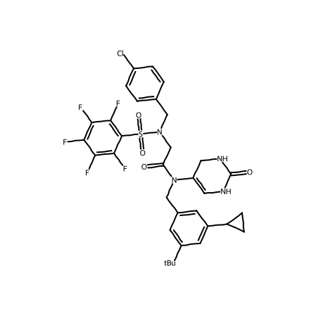 CC(C)(C)c1cc(CN(C(=O)CN(Cc2ccc(Cl)cc2)S(=O)(=O)c2c(F)c(F)c(F)c(F)c2F)C2=CNC(=O)NC2)cc(C2CC2)c1